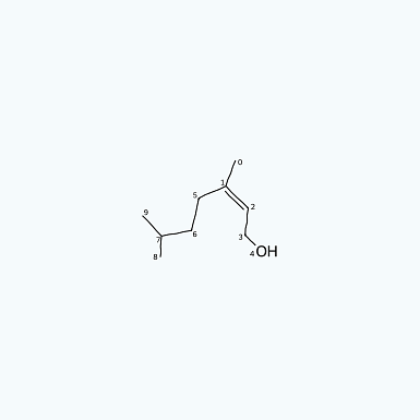 CC(=CCO)CCC(C)C